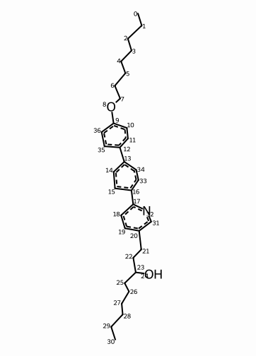 CCCCCCCCOc1ccc(-c2ccc(-c3ccc(CCC(O)CCCCCC)cn3)cc2)cc1